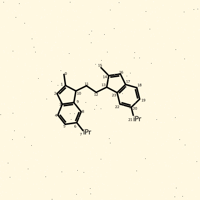 CC1=Cc2ccc(C(C)C)cc2C1CCC1C(C)=Cc2ccc(C(C)C)cc21